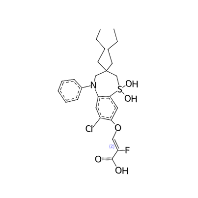 CCCCC1(CCCC)CN(c2ccccc2)c2cc(Cl)c(O/C=C(\F)C(=O)O)cc2S(O)(O)C1